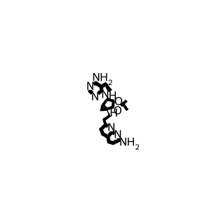 CC1(C)O[C@H]2[C@H](n3ccc4c(N)ncnc43)C3C[C@@]3(CCc3ccc4ccc(N)nc4n3)[C@H]2O1